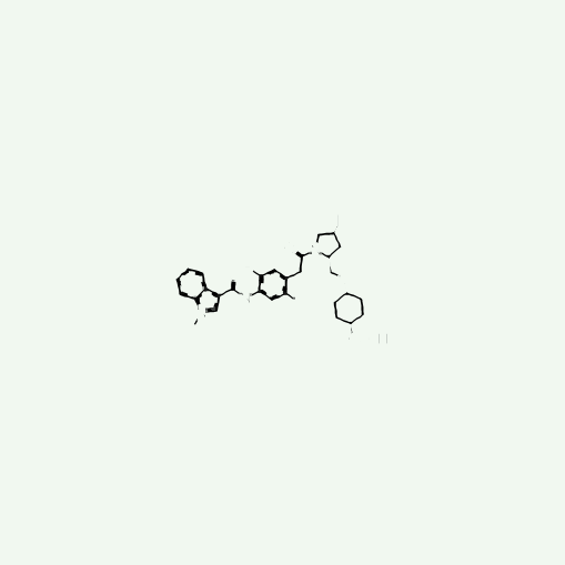 Cn1cc(C(=O)Nc2cc(F)c(CC(=O)N3C[C@@H](F)C[C@H]3CO[C@H]3CC[C@H](C(=O)O)CC3)cc2F)c2ccccc21